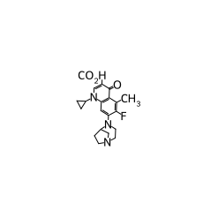 Cc1c(F)c(N2CCN3CCC2C3)cc2c1c(=O)c(C(=O)O)cn2C1CC1